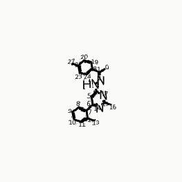 C/C(=N/Nc1cc(-c2ccccc2C)nc(C)n1)c1ccc(C)cc1